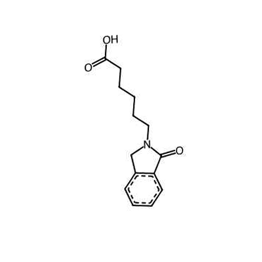 O=C(O)CCCCCN1Cc2ccccc2C1=O